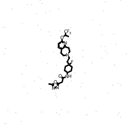 Cc1nnc(CC(=O)NC2CCC(F)(CCN3CCc4ccc(OC(C)C(F)(F)F)nc4CC3)CC2)o1